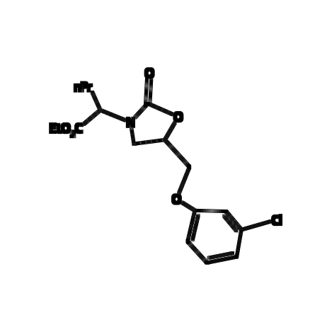 CCCC(C(=O)OCC)N1CC(COc2cccc(Cl)c2)OC1=O